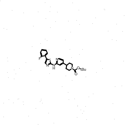 CC(C)(C)OC(=O)N1CCC(c2ccnc(Nc3ncc(-c4ccccc4F)s3)c2)CC1